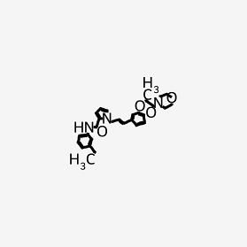 CCc1cccc(NC(=O)c2cccn2CC=Cc2cccc(O[C@@H](C)C(=O)N3CCOCC3)c2)c1